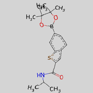 CC(C)NC(=O)c1cc2ccc(B3OC(C)(C)C(C)(C)O3)cc2s1